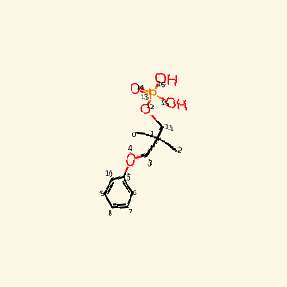 CC(C)(COc1ccccc1)COP(=O)(O)O